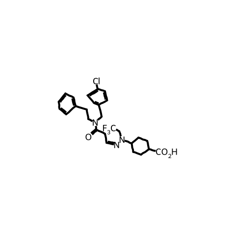 O=C(O)C1CCC(N(CC(F)(F)F)/N=C\CC(=O)N(CCc2ccccc2)Cc2ccc(Cl)cc2)CC1